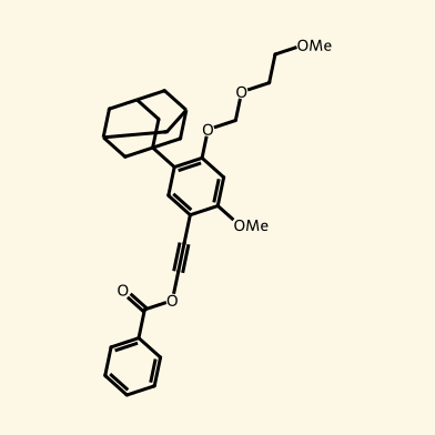 COCCOCOc1cc(OC)c(C#COC(=O)c2ccccc2)cc1C12CC3CC(CC(C3)C1)C2